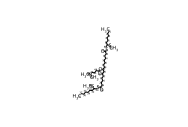 CCCCCCCC(CSC(=O)CCCCCCCC(CCCCCCCC(=O)SCC(CCCCCCC)SC)OC(=O)CCCN(C)C)SC